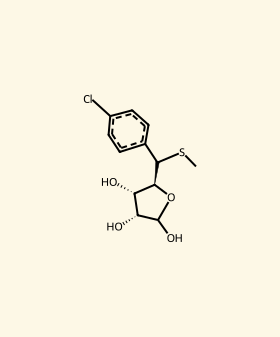 CSC(c1ccc(Cl)cc1)[C@H]1OC(O)[C@H](O)[C@@H]1O